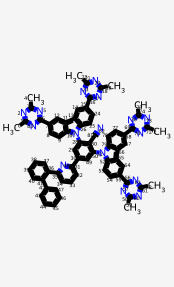 Cc1nc(C)nc(-c2ccc3c(c2)c2cc(-c4nc(C)nc(C)n4)ccc2n3-c2cc(-c3cccc(-c4ccccc4-c4ccccc4)n3)cc(-n3c4ccc(-c5nc(C)nc(C)n5)cc4c4cc(-c5nc(C)nc(C)n5)ccc43)c2C#N)n1